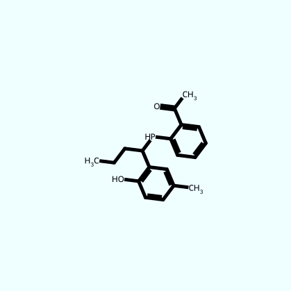 CCCC(Pc1ccccc1C(C)=O)c1cc(C)ccc1O